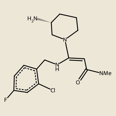 CNC(=O)/C=C(\NCc1ccc(F)cc1Cl)N1CCC[C@@H](N)C1